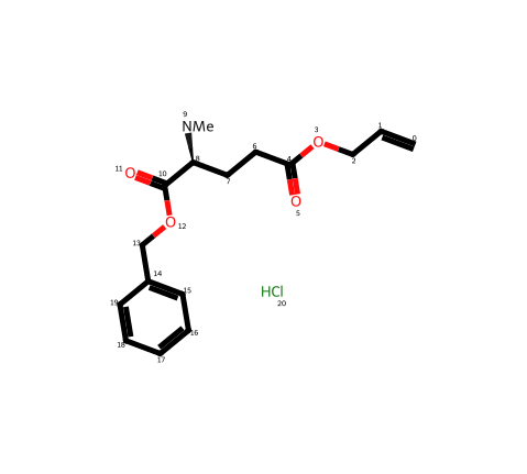 C=CCOC(=O)CC[C@H](NC)C(=O)OCc1ccccc1.Cl